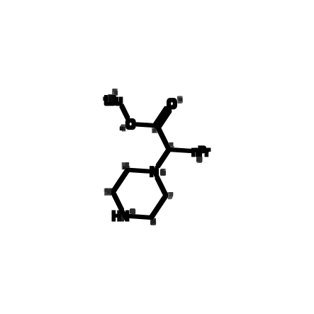 CCCC(C(=O)OC(C)(C)C)N1CCNCC1